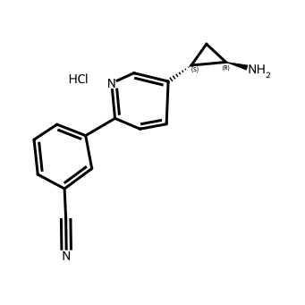 Cl.N#Cc1cccc(-c2ccc([C@@H]3C[C@H]3N)cn2)c1